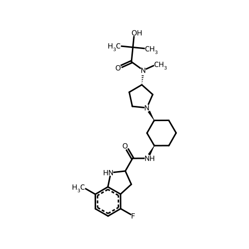 Cc1ccc(F)c2c1NC(C(=O)N[C@@H]1CCC[C@H](N3CC[C@H](N(C)C(=O)C(C)(C)O)C3)C1)C2